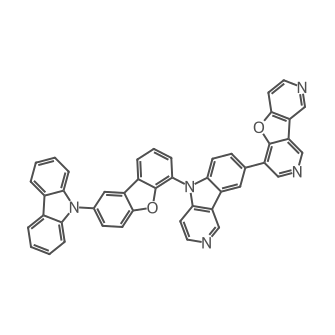 c1cc(-n2c3ccncc3c3cc(-c4cncc5c4oc4ccncc45)ccc32)c2oc3ccc(-n4c5ccccc5c5ccccc54)cc3c2c1